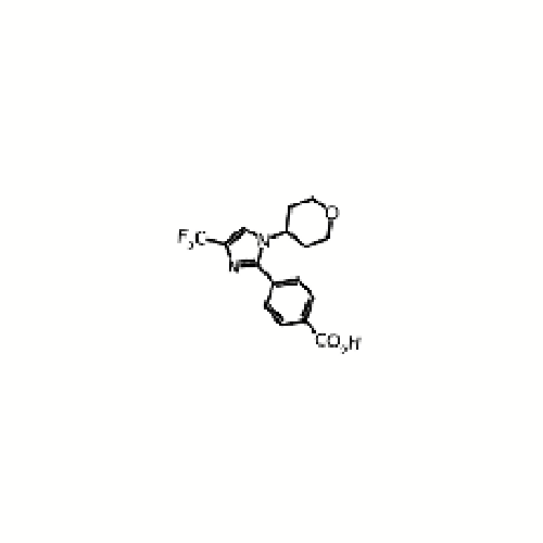 O=C(O)c1ccc(-c2nc(C(F)(F)F)cn2C2CCOCC2)cc1